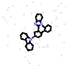 c1ccc2c(c1)nc1c3cc(-n4c5ccccc5c5ccccc54)ccc3c3ccccc3n21